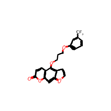 O=c1ccc2c(OCCCOc3cccc(C(F)(F)F)c3)c3ccoc3cc2o1